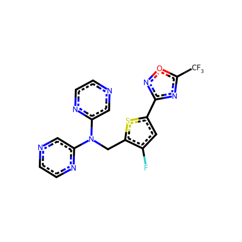 Fc1cc(-c2noc(C(F)(F)F)n2)sc1CN(c1cnccn1)c1cnccn1